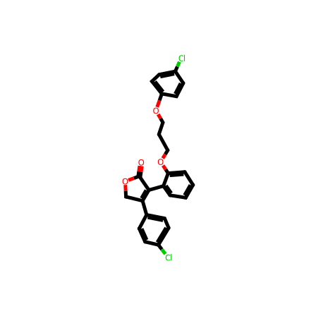 O=C1OCC(c2ccc(Cl)cc2)=C1c1ccccc1OCCCOc1ccc(Cl)cc1